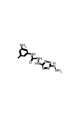 Cc1cc(N)cc(NC(=O)NNc2nnc(NN)nn2)c1